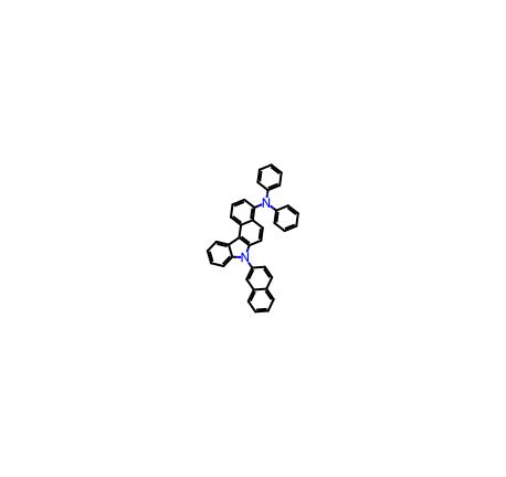 c1ccc(N(c2ccccc2)c2cccc3c2ccc2c3c3ccccc3n2-c2ccc3ccccc3c2)cc1